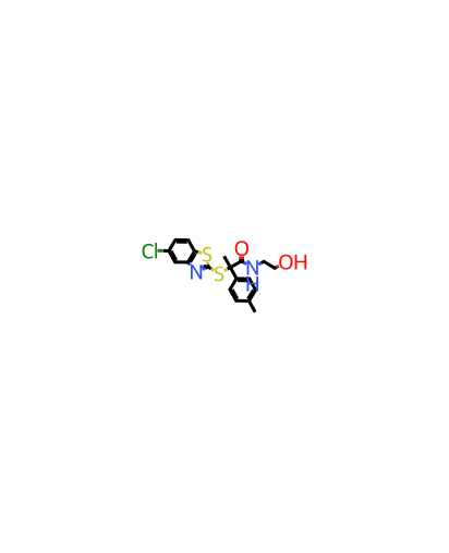 Cc1ccc(C(C)(Sc2nc3cc(Cl)ccc3s2)C(=O)NCCO)cc1